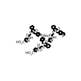 COc1ccc(CN2C(=O)C3=C(CCCC3)C2SCC(=O)Nc2ccc(C(=O)O)cn2)cc1.O=C(CSC1C2=C(CCCC2)C(=O)N1Cc1ccc(F)cc1)Nc1ccc(C(=O)O)cn1.O=C(CSC1C2=C(CCCC2)C(=O)N1Cc1ccc2ccsc2c1)Nc1ccccn1